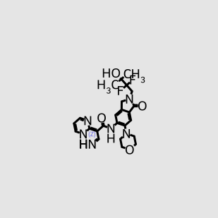 CC(C)(O)C(F)(F)CN1Cc2cc(NC(=O)/C(C=N)=C3\N=CC=CN3)c(N3CCOCC3)cc2C1=O